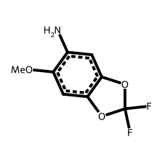 COc1cc2c(cc1N)OC(F)(F)O2